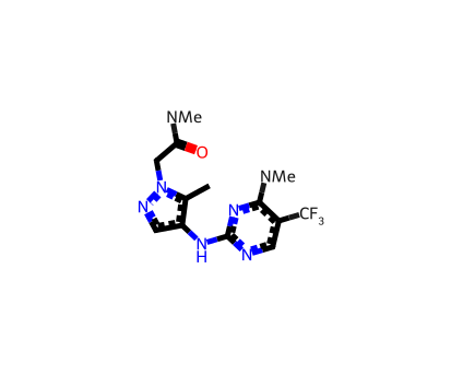 CNC(=O)Cn1ncc(Nc2ncc(C(F)(F)F)c(NC)n2)c1C